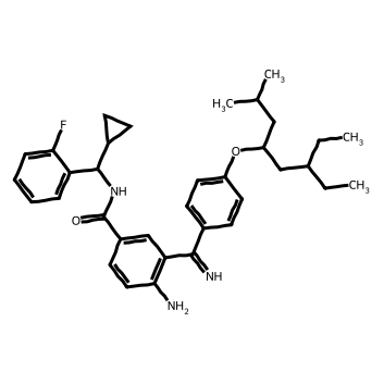 CCC(CC)CC(CC(C)C)Oc1ccc(C(=N)c2cc(C(=O)NC(c3ccccc3F)C3CC3)ccc2N)cc1